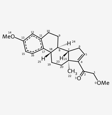 COCC(=O)C1=CC[C@H]2[C@@H]3CCc4cc(OC)ccc4[C@H]3CC[C@]12C